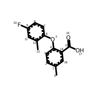 Cc1ccc(Oc2ccc(F)cc2C)c(C(=O)O)c1